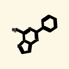 Nc1nc(-c2ccccc2)nc2ccnn12